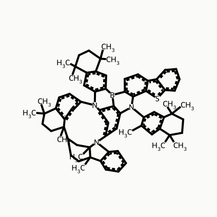 Cc1cc2c(cc1N1c3cc4cc5c3B(c3cc6c(cc3N5c3ccc5c(c3)C(C)(CCC5(C)C)C3CCC5(C)c7ccccc7N4C5(C)C3)C(C)(C)CCC6(C)C)c3ccc4c(sc5ccccc54)c31)C(C)(C)CCC2(C)C